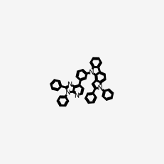 c1ccc(-c2cc3c(ccc4c5ccccc5n(-c5cccc(-c6ccnc7c6nc(-c6ccccc6)n7-c6ccccc6)c5)c43)n2-c2ccccc2)cc1